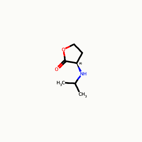 CC(C)N[C@@H]1CCOC1=O